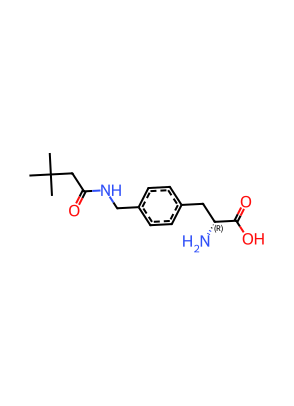 CC(C)(C)CC(=O)NCc1ccc(C[C@@H](N)C(=O)O)cc1